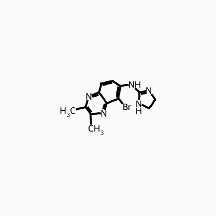 Cc1nc2ccc(NC3=NCCN3)c(Br)c2nc1C